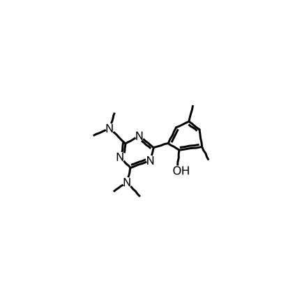 Cc1cc(C)c(O)c(-c2nc(N(C)C)nc(N(C)C)n2)c1